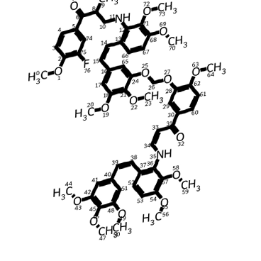 COc1ccc(C(=O)C(C)CNc2c(/C=C\c3cc(OC)c(OC)c(OCOc4cc(C(=O)/C=C\Nc5c(/C=C\c6cc(OC)c(OC)c(OC)c6)ccc(OC)c5OC)ccc4OC)c3)ccc(OC)c2OC)cc1F